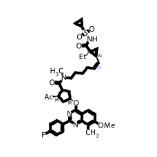 CC[C@]1(C(=O)NS(=O)(=O)C2CC2)C[C@H]1/C=C\CCCCN(C)C(=O)C1C[C@H](Oc2nc(-c3ccc(F)cc3)nc3c(C)c(OC)ccc23)C[C@H]1C(C)=O